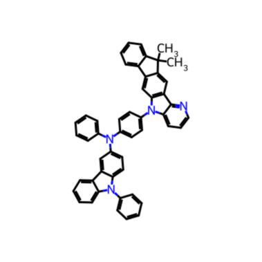 CC1(C)c2ccccc2-c2cc3c(cc21)c1ncccc1n3-c1ccc(N(c2ccccc2)c2ccc3c(c2)c2ccccc2n3-c2ccccc2)cc1